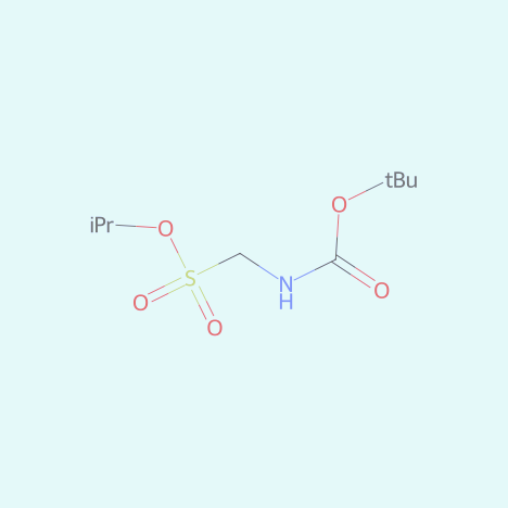 CC(C)OS(=O)(=O)CNC(=O)OC(C)(C)C